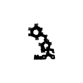 COC(=O)C1(C)CN(Cc2ccccc2)C=N1